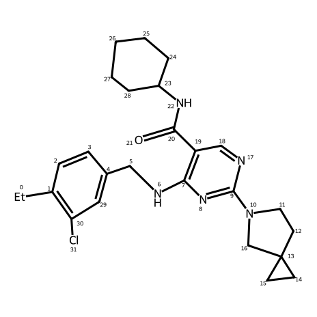 CCc1ccc(CNc2nc(N3CCC4(CC4)C3)ncc2C(=O)NC2CCCCC2)cc1Cl